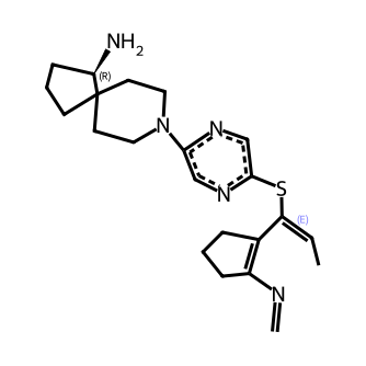 C=NC1=C(/C(=C\C)Sc2cnc(N3CCC4(CCC[C@H]4N)CC3)cn2)CCC1